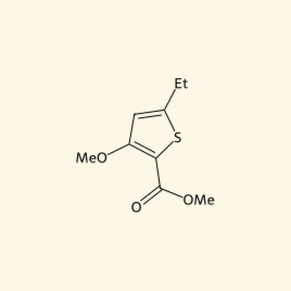 CCc1cc(OC)c(C(=O)OC)s1